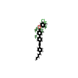 CCCCCc1ccc(C#Cc2ccc(-c3cc(F)c(C(F)(F)Oc4cc(F)c(F)c(Cl)c4)c(F)c3)c(F)c2)cc1